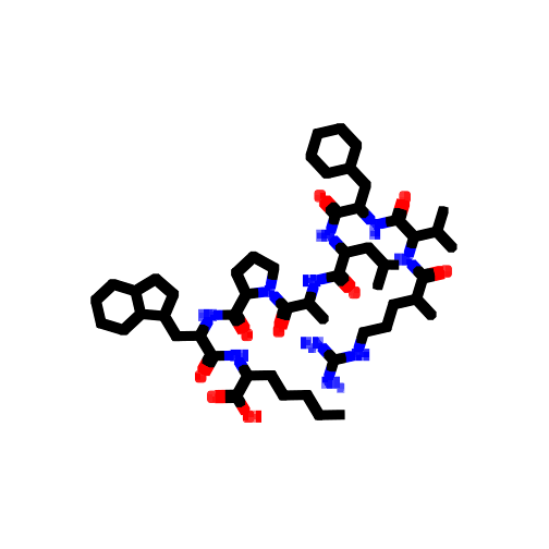 CCCCCC(NC(=O)C(CC1CCC2CCCCC21)NC(=O)C1CCCN1C(=O)C(C)NC(=O)C(CC(C)C)NC(=O)C(CC1CCCCC1)NC(=O)C(NC(=O)C(C)CCCNC(N)N)C(C)C)C(=O)O